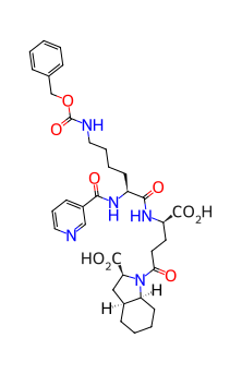 O=C(NCCCC[C@H](NC(=O)c1cccnc1)C(=O)N[C@H](CCC(=O)N1[C@H](C(=O)O)C[C@@H]2CCCC[C@@H]21)C(=O)O)OCc1ccccc1